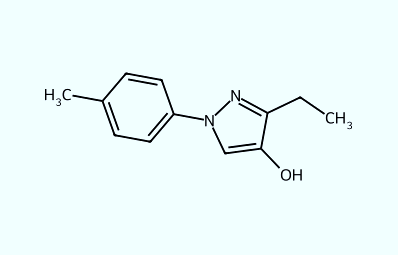 CCc1nn(-c2ccc(C)cc2)cc1O